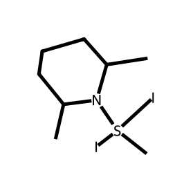 CC1CCCC(C)N1S(C)(I)I